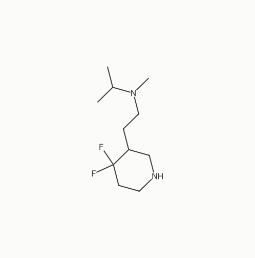 CC(C)N(C)CCC1CNCCC1(F)F